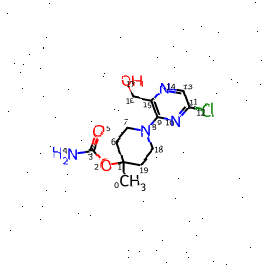 CC1(OC(N)=O)CCN(c2nc(Cl)cnc2CO)CC1